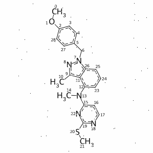 COc1ccc(Cn2nc(C)c3c(N(C)c4ccnc(SC)n4)cccc32)cc1